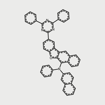 c1ccc(-c2nc(-c3ccccc3)nc(-c3ccc4oc5c(N(c6ccccc6)c6ccc7ccccc7c6)c6ccccc6cc5c4c3)n2)cc1